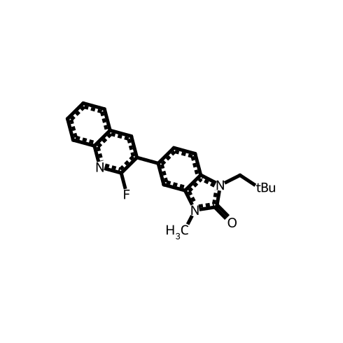 Cn1c(=O)n(CC(C)(C)C)c2ccc(-c3cc4ccccc4nc3F)cc21